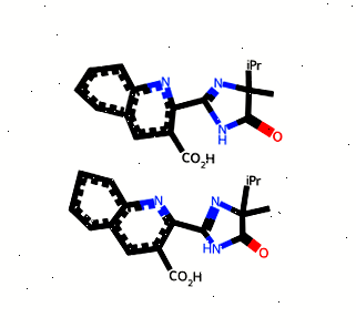 CC(C)C1(C)N=C(c2nc3ccccc3cc2C(=O)O)NC1=O.CC(C)C1(C)N=C(c2nc3ccccc3cc2C(=O)O)NC1=O